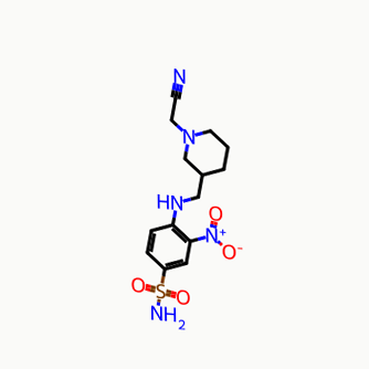 N#CCN1CCCC(CNc2ccc(S(N)(=O)=O)cc2[N+](=O)[O-])C1